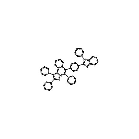 c1ccc(-c2nn3c(-c4ccccc4)c(-c4ccc(-c5nc6ccccc6n5-c5ccccc5)cc4)c4ccccc4c3c2-c2ccccc2)cc1